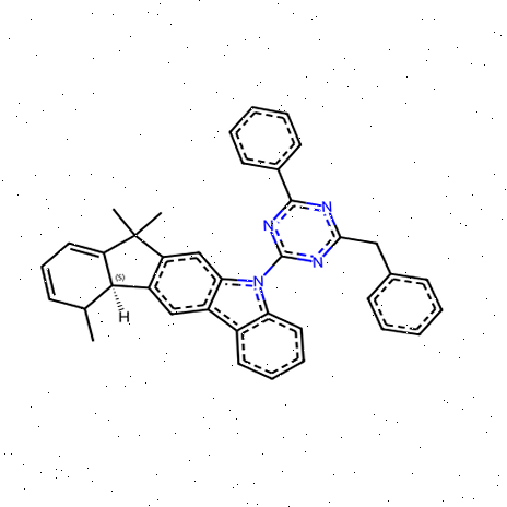 CC1C=CC=C2[C@H]1c1cc3c4ccccc4n(-c4nc(Cc5ccccc5)nc(-c5ccccc5)n4)c3cc1C2(C)C